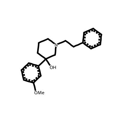 COc1cccc(C2(O)CCCN(CCc3ccccc3)C2)c1